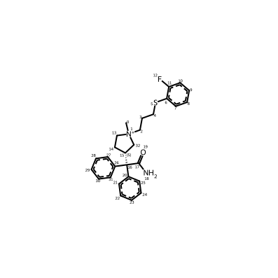 C[N+]1(CCCSc2ccccc2F)CC[C@@H](C(C(N)=O)(c2ccccc2)c2ccccc2)C1